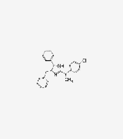 CC(C1=NC(Cc2ccccc2)C(c2ccccc2)N1)c1ccc(Cl)cc1